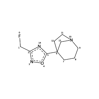 FCc1noc(C23CCCN(CC2)C3)n1